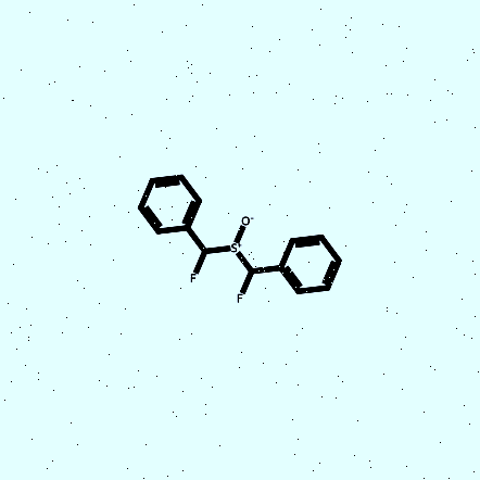 [O-][S+](C(F)c1ccccc1)C(F)c1ccccc1